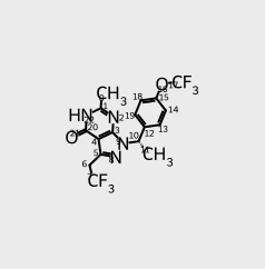 Cc1nc2c(c(CC(F)(F)F)nn2[C@@H](C)c2ccc(OC(F)(F)F)cc2)c(=O)[nH]1